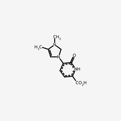 CC1=CN(c2ccc(C(=O)O)[nH]c2=O)CN1C